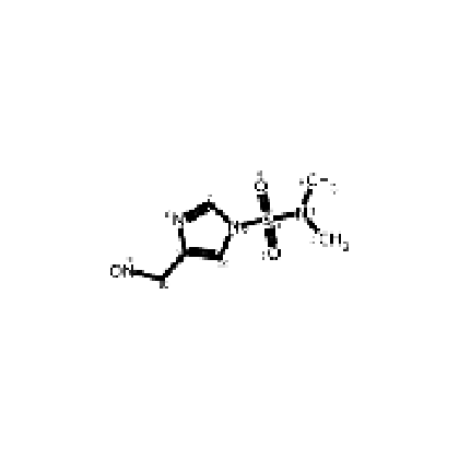 CN(C)S(=O)(=O)n1cnc(CN=O)c1